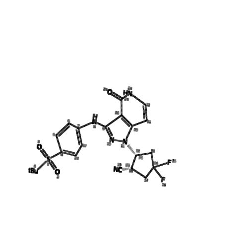 CC(C)(C)S(=O)(=O)c1ccc(Nc2nn([C@@H]3CC(F)(F)C[C@@H]3C#N)c3cc[nH]c(=O)c23)cc1